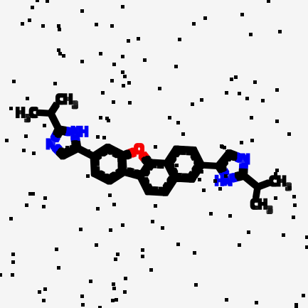 CC(C)c1ncc(-c2ccc3c(ccc4c5ccc(-c6cnc(C(C)C)[nH]6)cc5oc34)c2)[nH]1